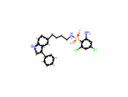 Nc1cc(Cl)cc(Cl)c1S(=O)(=O)NCCCCc1ccc2[nH]cc(-c3ccccc3)c2c1